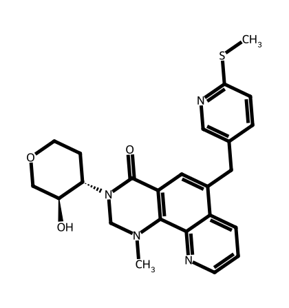 CSc1ccc(Cc2cc3c(c4ncccc24)N(C)CN([C@H]2CCOC[C@@H]2O)C3=O)cn1